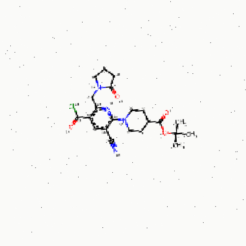 CC(C)(C)OC(=O)C1CCN(c2nc(CN3CCCC3=O)c(C(=O)Cl)cc2C#N)CC1